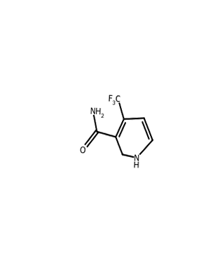 NC(=O)C1=C(C(F)(F)F)C=CNC1